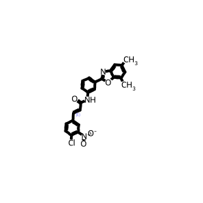 Cc1cc(C)c2oc(-c3cccc(NC(=O)/C=C/c4ccc(Cl)c([N+](=O)[O-])c4)c3)nc2c1